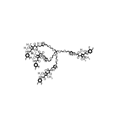 Cc1c(C(=O)C(=O)NCc2cn(CCOCCOCC(COCCOCCn3cc(CNC(=O)C(=O)c4c(C)c(C(=O)Nc5ccc(F)c(F)c5)n(C)c4C)nn3)(COCCOCCn3cc(CNC(=O)C(=O)c4c(C)c(C(=O)Nc5ccc(F)c(F)c5)n(C)c4C)nn3)COCCOCCn3cc(CNC(=O)C(=O)c4c(C)c(C(=O)Nc5ccc(F)c(F)c5)n(C)c4C)nn3)nn2)c(C)n(C)c1C(=O)Nc1ccc(F)c(F)c1